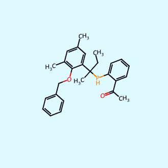 CCC(C)(Pc1ccccc1C(C)=O)c1cc(C)cc(C)c1OCc1ccccc1